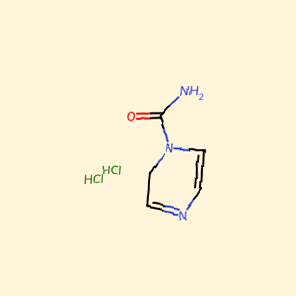 Cl.Cl.NC(=O)N1C=CN=CC1